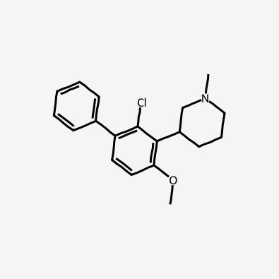 COc1ccc(-c2ccccc2)c(Cl)c1C1CCCN(C)C1